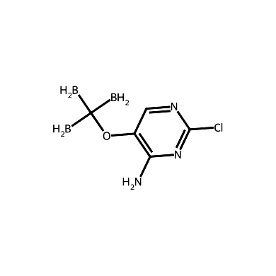 BC(B)(B)Oc1cnc(Cl)nc1N